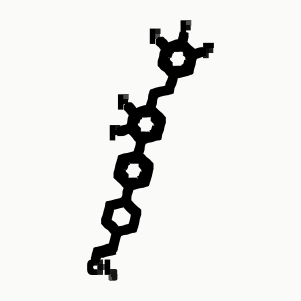 C/C=C/C1CCC(c2ccc(-c3ccc(CCc4cc(F)c(F)c(F)c4)c(F)c3F)cc2)CC1